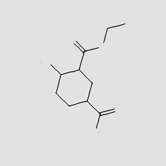 CCOC(=O)C1CC(C(=O)O)CCC1S